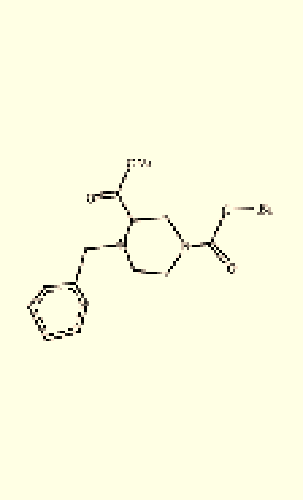 COC(=O)C1CN(C(=O)OC(C)(C)C)CCN1Cc1ccccc1